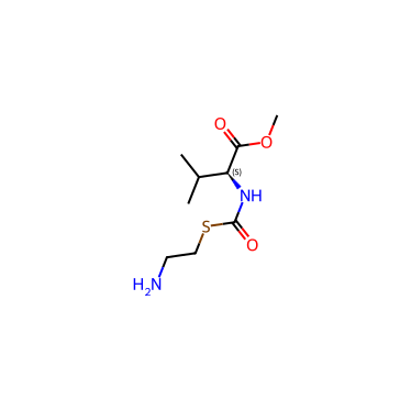 COC(=O)[C@@H](NC(=O)SCCN)C(C)C